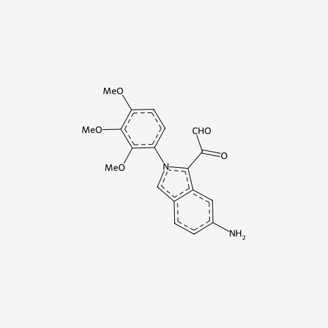 COc1ccc(-n2cc3ccc(N)cc3c2C(=O)C=O)c(OC)c1OC